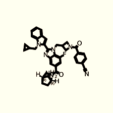 N#Cc1ccc(C(=O)N2CC(Cn3c(-c4cc5ccccc5n4CC4CC4)nc4cc(C(=O)N5C[C@H]6CC[C@@H]5[C@@H]6N)cc(F)c43)C2)cc1